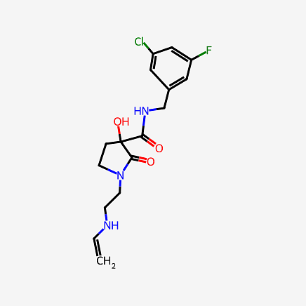 C=CNCCN1CCC(O)(C(=O)NCc2cc(F)cc(Cl)c2)C1=O